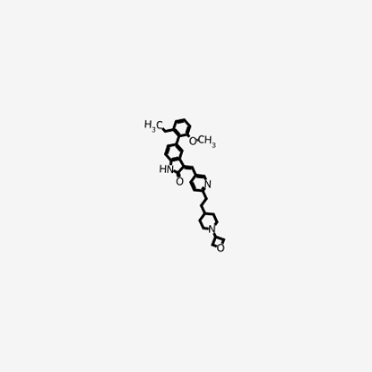 CCc1cccc(OC)c1-c1ccc2c(c1)/C(=C/c1ccc(CCC3CCN(C4COC4)CC3)nc1)C(=O)N2